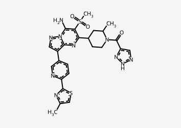 Cc1csc(-c2ccc(-c3cnn4c(N)c(S(C)(=O)=O)c(C5CCN(C(=O)c6cn[nH]n6)C(C)C5)nc34)cn2)n1